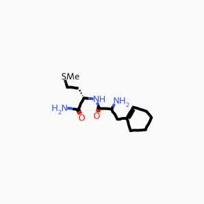 CSCC[C@H](NC(=O)C(N)CC1=CCCCC1)C(N)=O